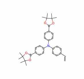 C=Cc1ccc(N(c2ccc(B3OC(C)(C)C(C)(C)O3)cc2)c2ccc(B3OC(C)(C)C(C)(C)O3)cc2)cc1